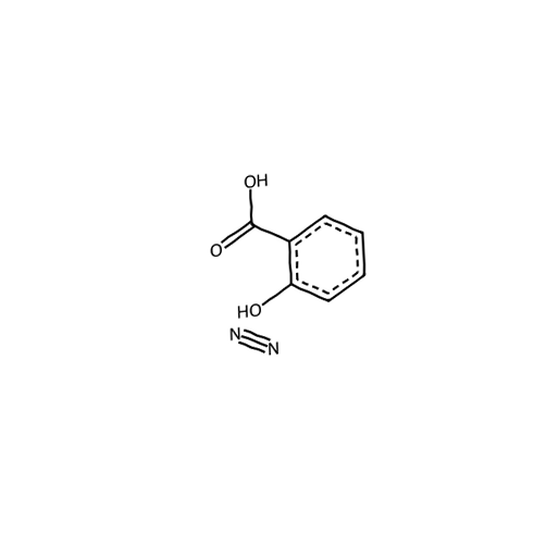 N#N.O=C(O)c1ccccc1O